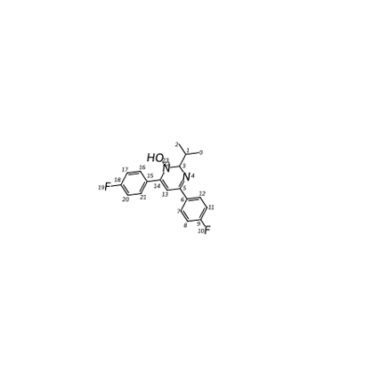 CC(C)C1N=C(c2ccc(F)cc2)C=C(c2ccc(F)cc2)N1O